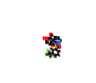 CC(C)(NS(=O)(=O)c1cccc(C(F)(F)F)c1)C(=O)O